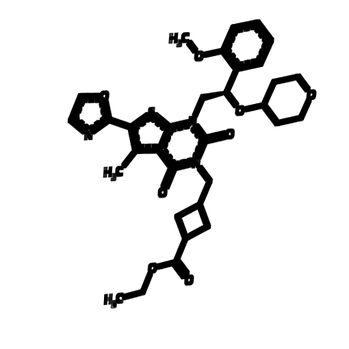 CCOC(=O)C1CC(Cn2c(=O)c3c(C)c(-c4ncco4)sc3n(C[C@H](OC3CCOCC3)c3ccccc3OC)c2=O)C1